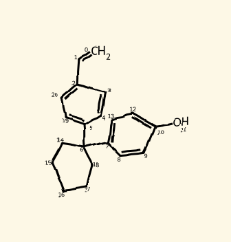 C=Cc1ccc(C2(c3ccc(O)cc3)CCCCC2)cc1